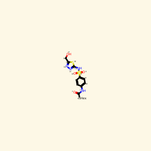 CCCCCCC(=O)Nc1ccc(S(=O)(=O)Nc2nnc(CO)s2)cc1